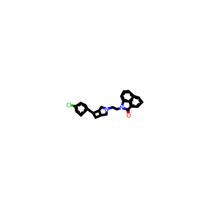 O=C1c2cccc3cccc(c23)N1CCN1CC2CC(c3ccc(Cl)cc3)C2C1